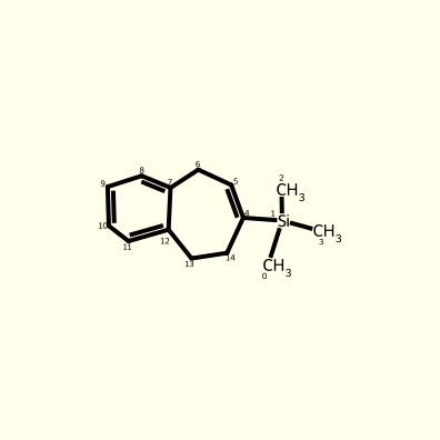 C[Si](C)(C)C1=CCc2ccccc2CC1